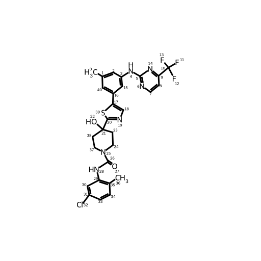 Cc1cc(Nc2nccc(C(F)(F)F)n2)cc(-c2cnc(C3(O)CCN(C(=O)Nc4cc(Cl)ccc4C)CC3)s2)c1